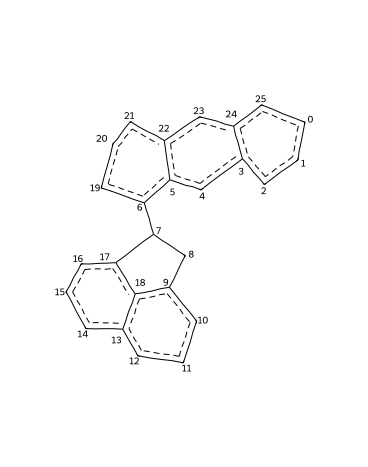 c1ccc2cc3c(C4Cc5cccc6cccc4c56)cccc3cc2c1